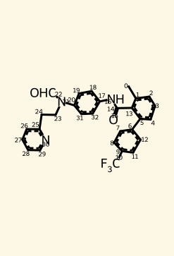 Cc1cccc(-c2ccc(C(F)(F)F)cc2)c1C(=O)Nc1ccc(N(C=O)CCc2ccccn2)cc1